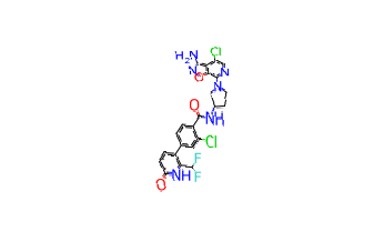 Nc1noc2c(N3CC[C@@H](NC(=O)c4ccc(-c5ccc(=O)[nH]c5C(F)F)cc4Cl)C3)ncc(Cl)c12